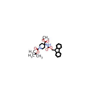 COC(=O)C1(NC(=O)OCC2c3ccccc3-c3ccccc32)CCN(C(=O)OC(C)(C)C)CC1